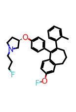 Cc1ccccc1C1=C(c2ccc(O[C@H]3CCN(CCCF)C3)cc2)c2ccc(OF)cc2CCC1